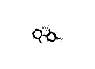 CC1CCCCN1c1ccc(Br)cc1C(=O)O